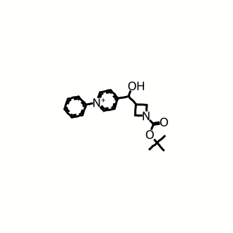 CC(C)(C)OC(=O)N1CC(C(O)c2cc[n+](-c3ccccc3)cc2)C1